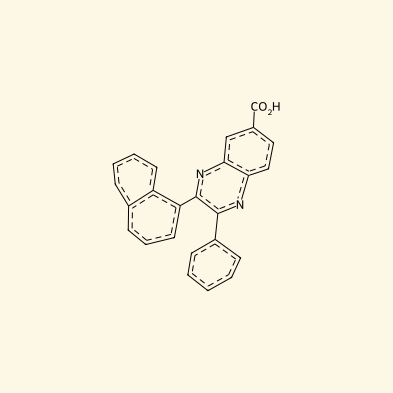 O=C(O)c1ccc2nc(-c3ccccc3)c(-c3cccc4ccccc34)nc2c1